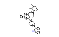 COc1nc2c(c(N3CCN(C(=O)/C=C\Cl)CC3)n1)CCN(c1cccc(C)c1C)C2